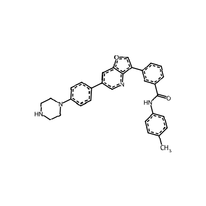 Cc1ccc(NC(=O)c2cccc(-c3coc4cc(-c5ccc(N6CCNCC6)cc5)cnc34)c2)cc1